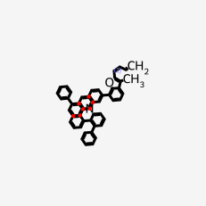 C=C/C=C\c1oc2c(-c3cccc(N(c4cccc(-c5ccccc5)c4)c4cccc(-c5ccccc5)c4-c4ccccc4-c4ccccc4)c3)cccc2c1C